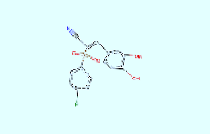 N#C/C(=C/c1ccc(O)c(O)c1)S(=O)(=O)c1ccc(F)cc1